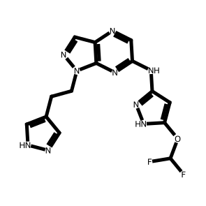 FC(F)Oc1cc(Nc2cnc3cnn(CCc4cn[nH]c4)c3n2)n[nH]1